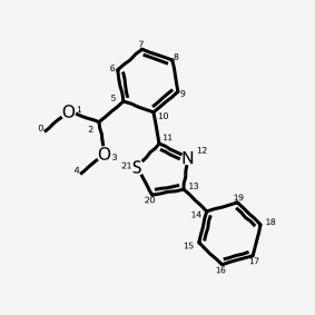 COC(OC)c1ccccc1-c1nc(-c2ccccc2)cs1